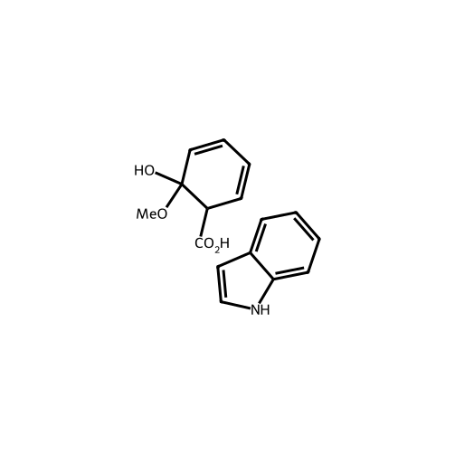 COC1(O)C=CC=CC1C(=O)O.c1ccc2[nH]ccc2c1